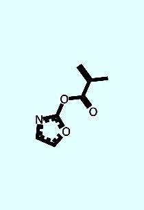 C=C(C)C(=O)Oc1ncco1